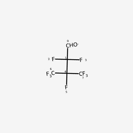 O=[C]C(F)(F)C(F)(C(F)(F)F)C(F)(F)F